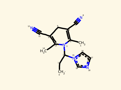 [CH2]CC(N1C(C)=C(C#N)CC(C#N)=C1C)n1ccnc1